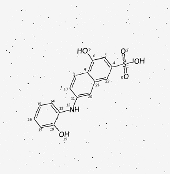 O=S(=O)(O)c1cc(O)c2ccc(Nc3ccccc3O)cc2c1